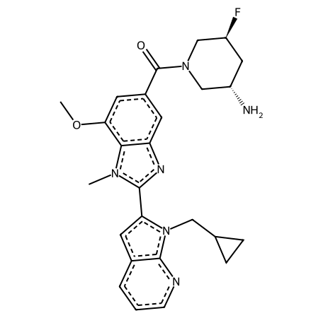 COc1cc(C(=O)N2C[C@@H](N)C[C@H](F)C2)cc2nc(-c3cc4cccnc4n3CC3CC3)n(C)c12